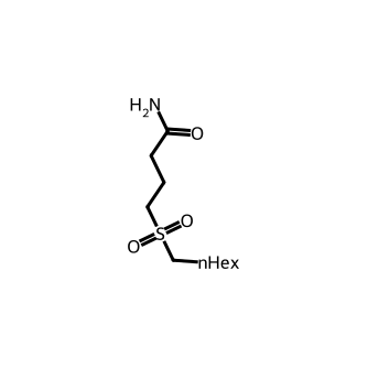 CCCCCCCS(=O)(=O)CCCC(N)=O